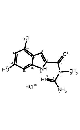 CN(C(=N)N)C(=O)c1cc2c(Cl)cc(O)cc2[nH]1.Cl